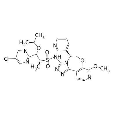 COc1nccc2c1OC[C@H](c1cccnc1)n1c(NS(=O)(=O)[C@@H](C)[C@@H](OC(C)C)c3ncc(Cl)cn3)nnc1-2